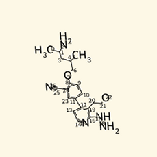 CC(N)CC(C)COc1ccc(-c2ccnc(NN)c2CC=O)cc1C#N